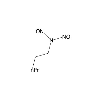 CCCCCN(N=O)N=O